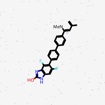 C=C(C)/C=C(\NC)c1ccc(-c2ccc(-c3c(F)cc4[nH]c(O)nc4c3F)cc2)cc1